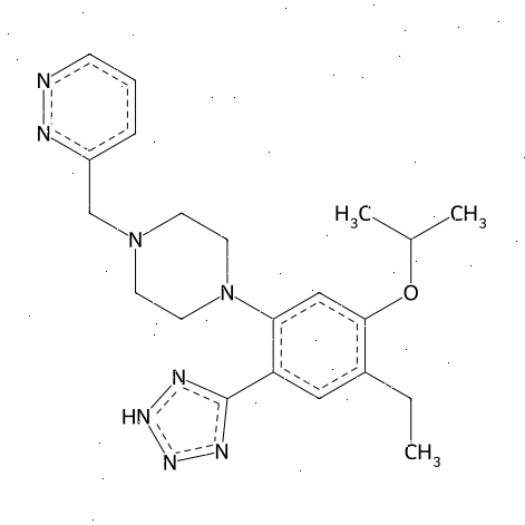 CCc1cc(-c2nn[nH]n2)c(N2CCN(Cc3cccnn3)CC2)cc1OC(C)C